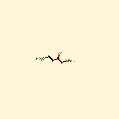 CCCCCCC(=O)C=CC(=O)O